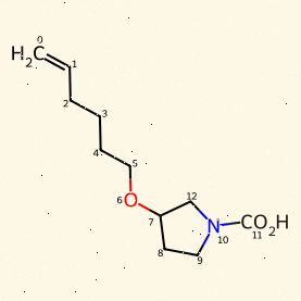 C=CCCCCOC1CCN(C(=O)O)C1